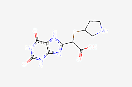 O=C(O)C(SC1CCNC1)c1nc2[nH]c(=O)[nH]c(=O)c2[nH]1